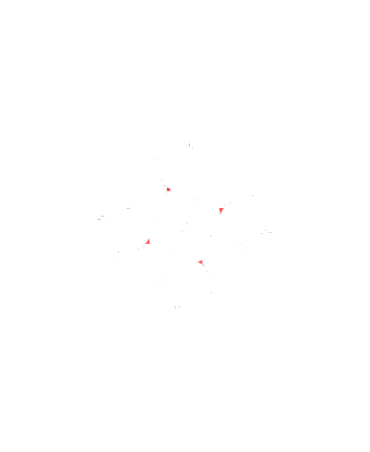 c1ccc(C(c2ccccc2)(c2ccccc2)[B-](C(c2ccccc2)(c2ccccc2)c2ccccc2)(C(c2ccccc2)(c2ccccc2)c2ccccc2)C(c2ccccc2)(c2ccccc2)c2ccccc2)cc1